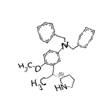 COc1ccc(N(Cc2ccccc2)Cc2ccccc2)cc1C(C)[C@@H]1CCCN1